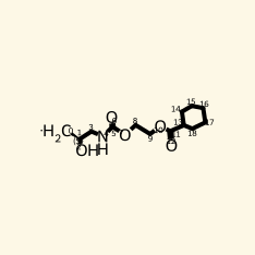 [CH2][C@H](O)CNC(=O)OCCOC(=O)C1CCCCC1